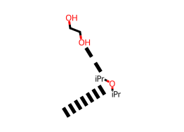 C=C.C=C.C=C.C=C.C=C.C=C.C=C.C=C.C=C.CC(C)OC(C)C.OCCO